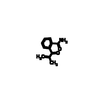 C=C(C)C(=O)c1ccccc1C(N)=O